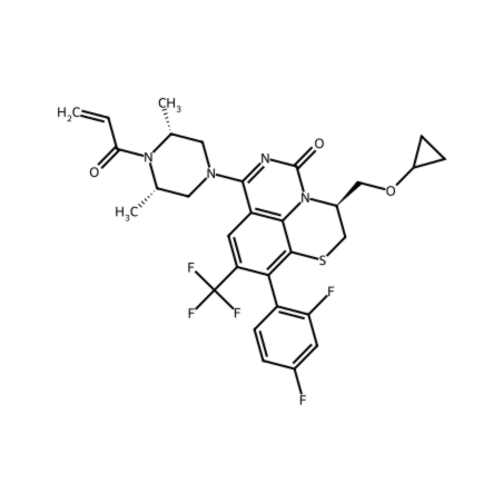 C=CC(=O)N1[C@H](C)CN(c2nc(=O)n3c4c(c(-c5ccc(F)cc5F)c(C(F)(F)F)cc24)SC[C@@H]3COC2CC2)C[C@@H]1C